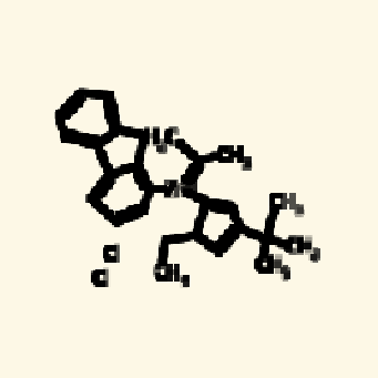 CCC1C=C(C(C)(C)C)C=[C]1[Zr+2](=[C](C)C)[c]1cccc2c1Cc1ccccc1-2.[Cl-].[Cl-]